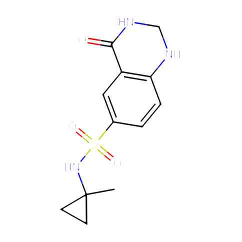 CC1(NS(=O)(=O)c2ccc3c(c2)C(=O)NCN3)CC1